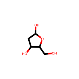 OCC1OC(O)CC1O